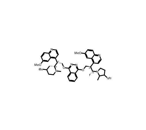 CCCC1CCN([C@H](I)[C@@H](COc2nnc(OC[C@@H](c3ccnc4ccc(OC)cc34)[C@H]3CC(C(C)CC)CCN3C)c3ccccc23)c2ccnc3ccc(OC)cc23)C1C